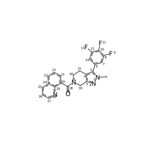 Cn1nc2c(c1-c1cc(F)c(F)c(F)c1)CCN(C(=O)c1cccc3cccnc13)C2